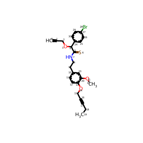 C#CCOC(C(=S)NCCc1ccc(OCC#CCC)c(OC)c1)c1ccc(Br)cc1